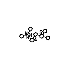 c1ccc(-c2nc(-c3ccccc3)nc(-c3cccc4sc5c(-c6ccc(-c7ccccc7)c7c6sc6ccccc67)cccc5c34)n2)cc1